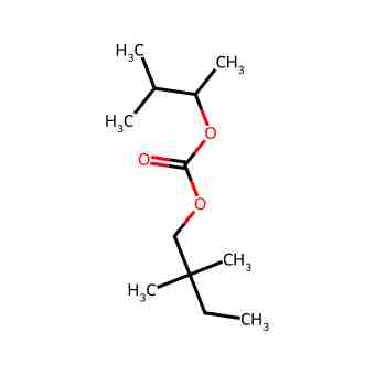 CCC(C)(C)COC(=O)OC(C)C(C)C